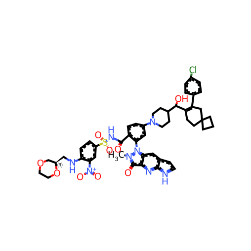 Cn1c(=O)c2nc3[nH]ccc3cc2n1-c1cc(N2CCC(C(O)C3=C(c4ccc(Cl)cc4)CC4(CCC4)CC3)CC2)ccc1C(=O)NS(=O)(=O)c1ccc(NC[C@@H]2COCCO2)c([N+](=O)[O-])c1